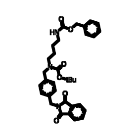 CC(C)(C)OC(=O)N(CCCCNC(=O)OCc1ccccc1)Cc1ccc(CN2C(=O)c3ccccc3C2=O)cc1